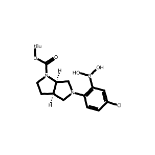 CC(C)(C)OC(=O)N1CC[C@@H]2CN(c3ccc(Cl)cc3B(O)O)C[C@@H]21